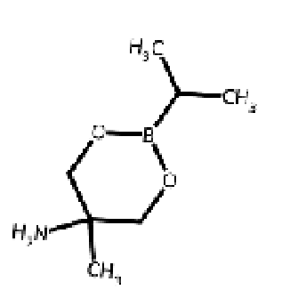 CC(C)B1OCC(C)(N)CO1